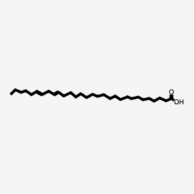 CCCCCC=CCC=CCCCCCCCCCCCCCCCCCCCC(=O)O